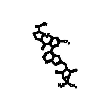 Cc1cc(C(F)(F)F)nc(-c2ccnc3cc(CN4C(=O)C5C(C4=O)C5(C)C)sc23)c1C(=O)N1CC[C@H](NC(C)C)C1